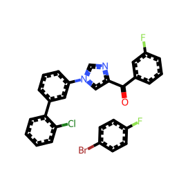 Fc1ccc(Br)cc1.O=C(c1cccc(F)c1)c1cn(-c2cccc(-c3ccccc3Cl)c2)cn1